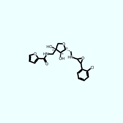 O=C(NC[C@]1(O)CO[C@H](CNC2OC2c2ccccc2Cl)[C@H]1O)c1ccco1